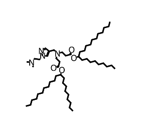 CCCCCCCCCCCC(CCCCCCCCC)OC(=O)CCN(CCC(=O)OC(CCCCCCCCC)CCCCCCCCCCC)Cc1cnn(CCN(C)C)c1